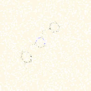 CC(C)(C)c1ccc(Cc2ccnc(Cc3ccc(C(C)(C)C)cc3)n2)cc1